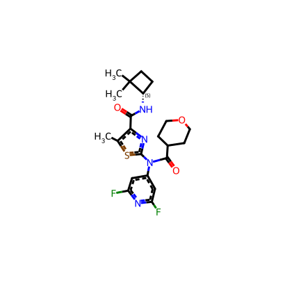 Cc1sc(N(C(=O)C2CCOCC2)c2cc(F)nc(F)c2)nc1C(=O)N[C@H]1CCC1(C)C